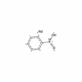 O=[PH](O)c1ccccc1.[Nd]